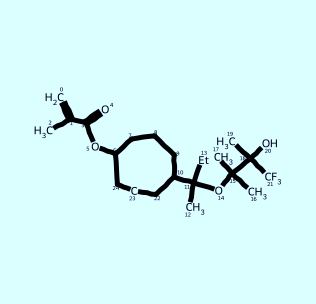 C=C(C)C(=O)OC1CCCC(C(C)(CC)OC(C)(C)C(C)(O)C(F)(F)F)CCC1